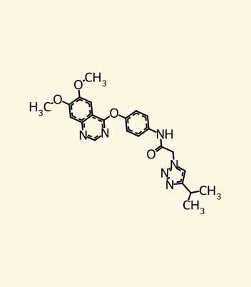 COc1cc2ncnc(Oc3ccc(NC(=O)Cn4cc(C(C)C)nn4)cc3)c2cc1OC